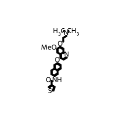 COc1cc2c(Oc3ccc4cc(NC(=O)c5ccsc5)ccc4c3)ccnc2cc1OCCCN(C)C